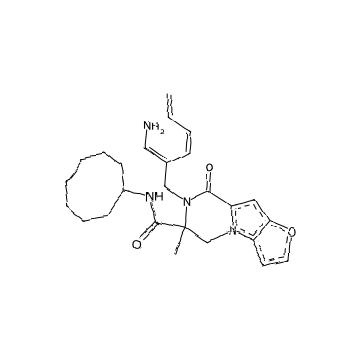 C=C/C=C\C(=C/N)CN1C(=O)c2cc3occc3n2CC1(C)C(=O)NC1CCCCCCC1